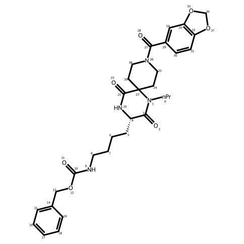 CCCN1C(=O)[C@H](CCCCNC(=O)OCc2ccccc2)NC(=O)C12CCN(C(=O)c1ccc3c(c1)OCO3)CC2